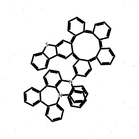 c1ccc(N(c2ccc3c4ccccc4c4ccccc4c4ccccc4c4cc5sc6ccccc6c5cc4c3c2)c2cccc3c2N(c2ccccc2)c2ccccc2-c2ccccc2-3)cc1